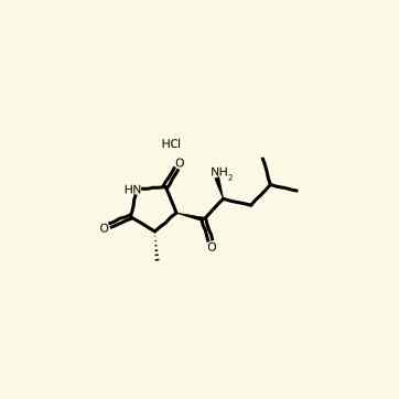 CC(C)C[C@H](N)C(=O)[C@@H]1C(=O)NC(=O)[C@H]1C.Cl